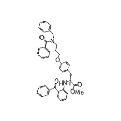 COC(=O)[C@H](Cc1ccc(OCCCN(Cc2ccccc2)C(=O)c2ccccc2)cc1)Nc1ccccc1C(=O)c1ccccc1